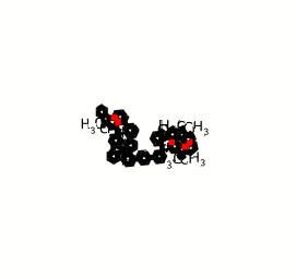 CC1(C)c2ccccc2-c2ccc(N(c3ccc4c(c3)C(c3ccccc3)(c3cccc(-c5ccc(-c6cccc(N(c7ccc8c(c7)C(C)(C)c7ccccc7-8)c7cccc8oc9cc%10c(cc9c78)-c7ccccc7C%10(C)C)c6)cc5)c3)c3ccccc3-4)c3ccccc3-c3ccccc3)cc21